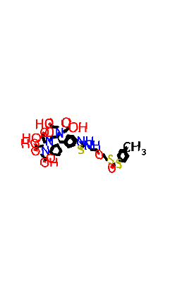 Cc1ccc(SC(=O)SCCOCCNC(=S)Nc2ccc(C[C@@H](CN(CC(=O)O)[C@@H]3CCCC[C@H]3N(CC(=O)O)CC(=O)O)N(CC(=O)O)CC(=O)O)cc2)cc1